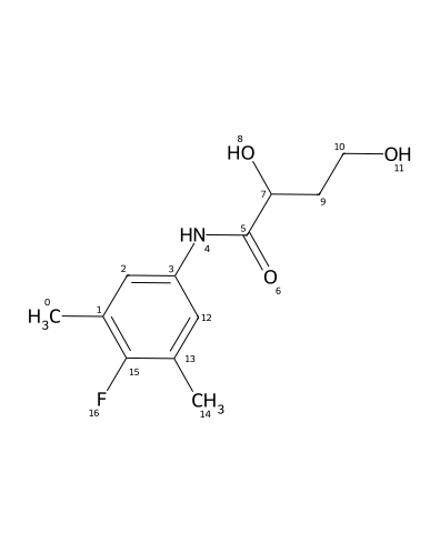 Cc1cc(NC(=O)C(O)CCO)cc(C)c1F